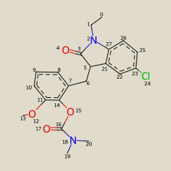 CCN1C(=O)C(Cc2cccc(OC)c2OC(=O)N(C)C)c2cc(Cl)ccc21